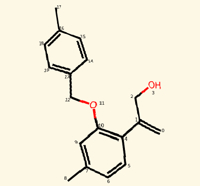 C=C(CO)c1ccc(C)cc1OCc1ccc(C)cc1